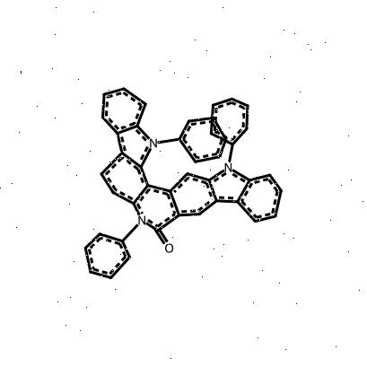 O=c1c2cc3c4ccccc4n(-c4ccccc4)c3cc2c2c(ccc3c4ccccc4n(-c4ccccc4)c32)n1-c1ccccc1